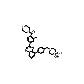 Cc1cc(-c2cnc3cccc(-c4ccc(CN5CCS(O)(O)CC5)cc4)c3n2)ccc1C(=O)N1CCOCC1